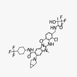 Cn1c(Nc2c(Cl)ccc(CNC(=O)[C@](C)(O)C(F)(F)F)c2Cl)nc2cc(C(=O)NC3CCC(C(F)(F)F)CC3)c(N3CC4CC4C3)cc21